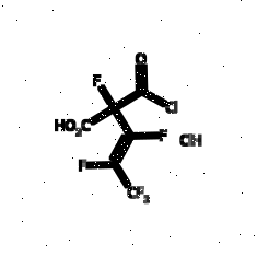 Cl.O=C(O)C(F)(C(=O)Cl)C(F)=C(F)C(F)(F)F